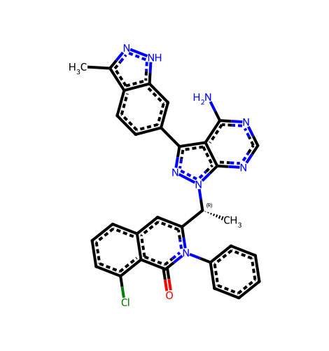 Cc1n[nH]c2cc(-c3nn([C@H](C)c4cc5cccc(Cl)c5c(=O)n4-c4ccccc4)c4ncnc(N)c34)ccc12